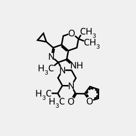 CC(C)C1CN(C2(C)N=C(C3CC3)C3=C(CC(C)(C)OC3)C2=N)CCN1C(=O)c1ccco1